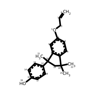 C=CCOc1ccc2c(c1)C(C)(c1ccc(O)cc1)CC2(C)C